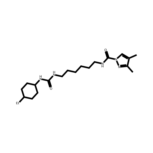 CCC1CCC(NC(=O)NCCCCCCNC(=O)n2cc(C)c(C)n2)CC1